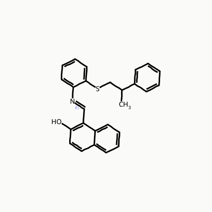 CC(CSc1ccccc1/N=C/c1c(O)ccc2ccccc12)c1ccccc1